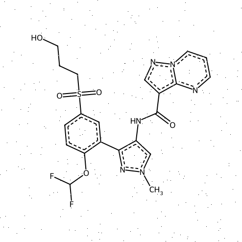 Cn1cc(NC(=O)c2cnn3cccnc23)c(-c2cc(S(=O)(=O)CCCO)ccc2OC(F)F)n1